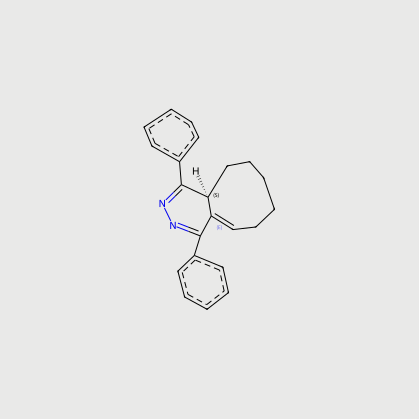 C1=C2/C(c3ccccc3)=NN=C(c3ccccc3)[C@H]2CCCCC/1